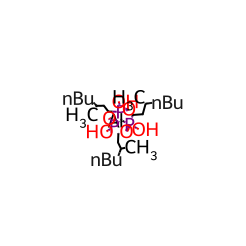 CCCCC(C)CC[P](=O)(O)[Al]([P](=O)(O)CCC(C)CCCC)[P](=O)(O)CCC(C)CCCC